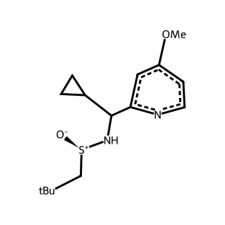 COc1ccnc(C(N[S@+]([O-])CC(C)(C)C)C2CC2)c1